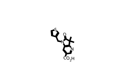 CC1(C)C(=O)N(Cc2ccsc2)c2cc(C(=O)O)cnc21